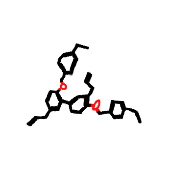 C=CCc1ccc(OCc2ccc(CC)cc2)c(-c2ccc(OCc3ccc(CC)cc3)c(CC=C)c2)c1